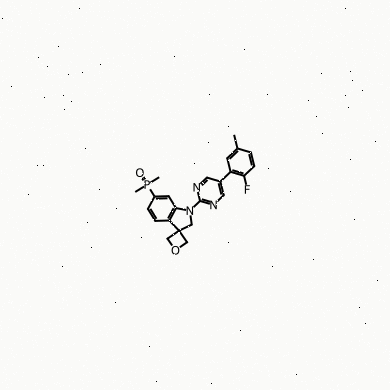 Cc1ccc(F)c(-c2cnc(N3CC4(COC4)c4ccc(P(C)(C)=O)cc43)nc2)c1